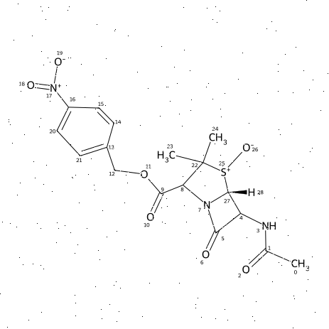 CC(=O)NC1C(=O)N2C(C(=O)OCc3ccc([N+](=O)[O-])cc3)C(C)(C)[S+]([O-])[C@H]12